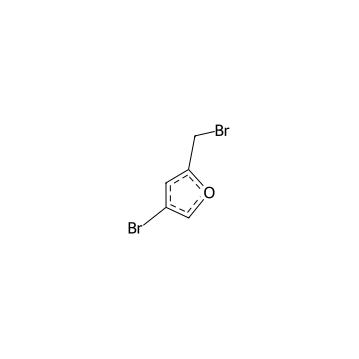 BrCc1cc(Br)co1